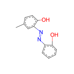 Cc1ccc(O)c(N=Nc2ccccc2O)c1